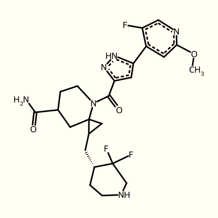 COc1cc(-c2cc(C(=O)N3CCC(C(N)=O)CC34CC4C[C@H]3CCNCC3(F)F)n[nH]2)c(F)cn1